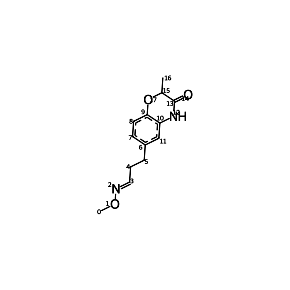 CON=CCCc1ccc2c(c1)NC(=O)C(C)O2